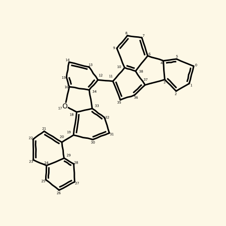 c1ccc2c(c1)-c1cccc3c(-c4cccc5oc6c(-c7cccc8ccccc78)cccc6c45)ccc-2c13